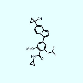 COc1cc(-c2cnc3cc(C4(C#N)CC4)ccn23)cc(OC(F)F)c1C(=O)NC1CC1